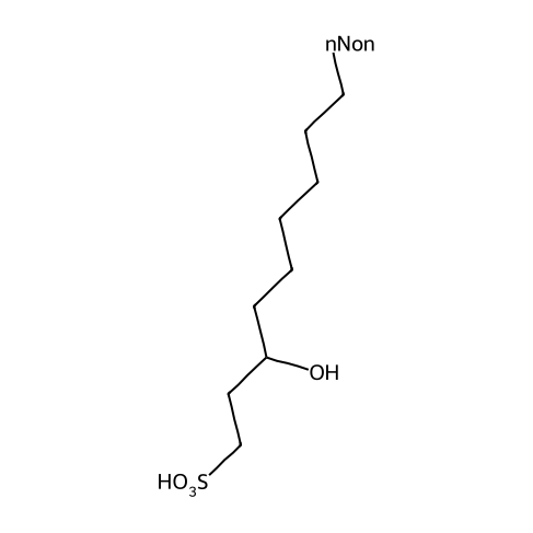 CCCCCCCCCCCCCCCC(O)CCS(=O)(=O)O